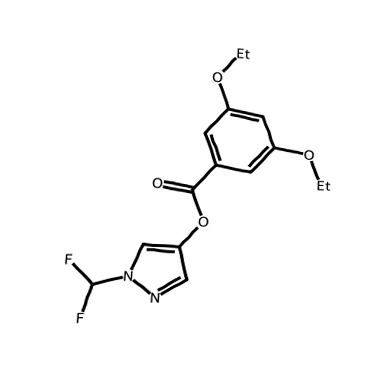 CCOc1cc(OCC)cc(C(=O)Oc2cnn(C(F)F)c2)c1